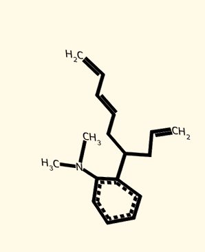 C=CC=CCC(CC=C)c1ccccc1N(C)C